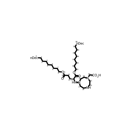 CCCCCCCCCCCCCCCCCCOC(=O)CC[C@H](NN1CCNCCN(CC(=O)O)CC1)C(=O)OCCCCCCCCCCCCCCCCCC